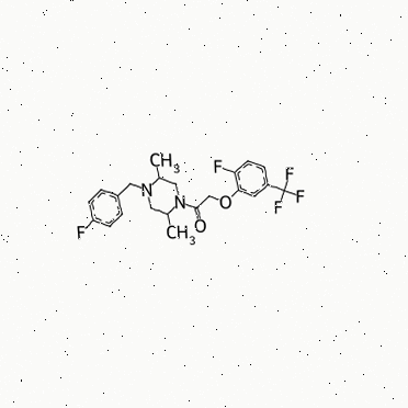 CC1CN(C(=O)COc2cc(C(F)(F)F)ccc2F)C(C)CN1Cc1ccc(F)cc1